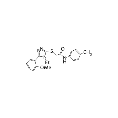 CCn1c(SCC(=O)Nc2ccc(C)cc2)nnc1-c1ccccc1OC